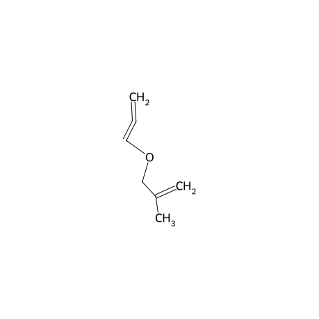 C=C=COCC(=C)C